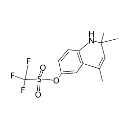 CC1=CC(C)(C)Nc2ccc(OS(=O)(=O)C(F)(F)F)cc21